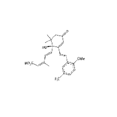 COc1ccc(C(F)(F)F)cc1/C=C/C1=CC(=O)CC(C)(C)[C@@]1(O)/C=C/C(C)=C\C(=O)O